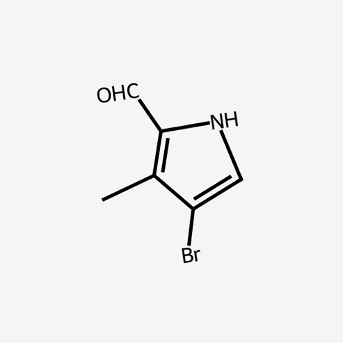 Cc1c(Br)c[nH]c1C=O